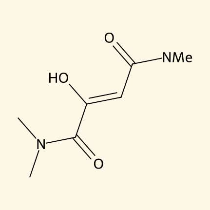 CNC(=O)/C=C(\O)C(=O)N(C)C